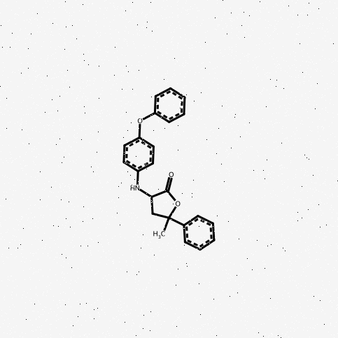 CC1(c2ccccc2)CC(Nc2ccc(Oc3ccccc3)cc2)C(=O)O1